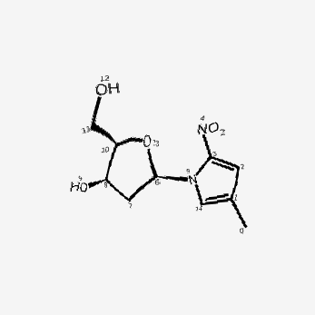 Cc1cc([N+](=O)[O-])n([C@H]2C[C@@H](O)[C@@H](CO)O2)c1